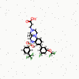 O=C(O)CCN1CCN2c3ccc(-c4cc(F)cc(OC(F)F)c4)cc3N(S(=O)(=O)c3cccc(C(F)(F)F)c3)C[C@H]2C1